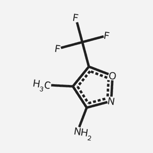 Cc1c(N)noc1C(F)(F)F